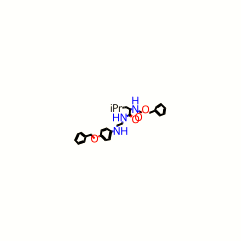 CC(C)CC(NC(=O)OCc1ccccc1)C(=O)NCCNc1ccc(OCc2ccccc2)cc1